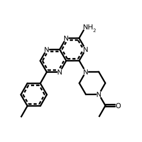 CC(=O)N1CCN(c2nc(N)nc3ncc(-c4ccc(C)cc4)nc23)CC1